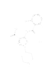 Cl.NC(=O)c1nn(C2CCNCC2)cc1NC(=O)c1c(Cl)cccc1Cl